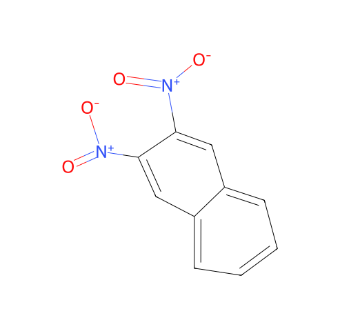 O=[N+]([O-])c1cc2ccccc2cc1[N+](=O)[O-]